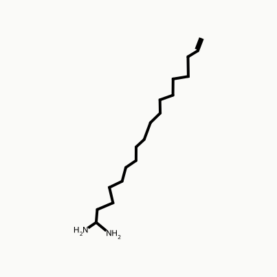 C=CCCCCCCCCCCCCCCCC(N)N